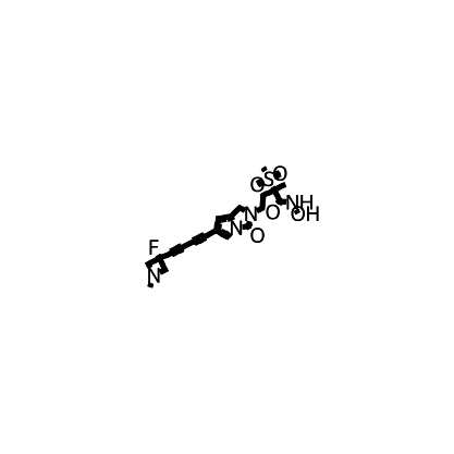 CN1CC(F)(C#CC#Cc2cc3n(c2)C(=O)N(CCC(C)(C(=O)NO)S(C)(=O)=O)C3)C1